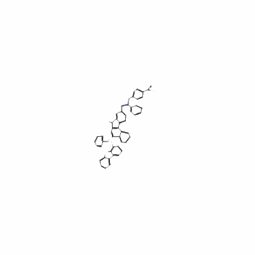 CC1c2cc(/C=C(/Cc3ccc(C4CN4)cc3)c3ccccc3)ccc2-c2c1cc(N(c1ccccc1)c1cccc3c1sc1ccccc13)c1ccccc21